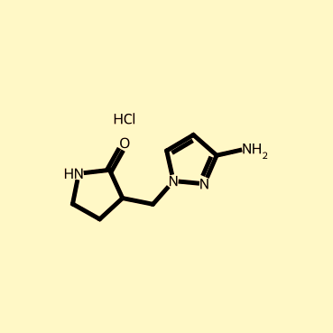 Cl.Nc1ccn(CC2CCNC2=O)n1